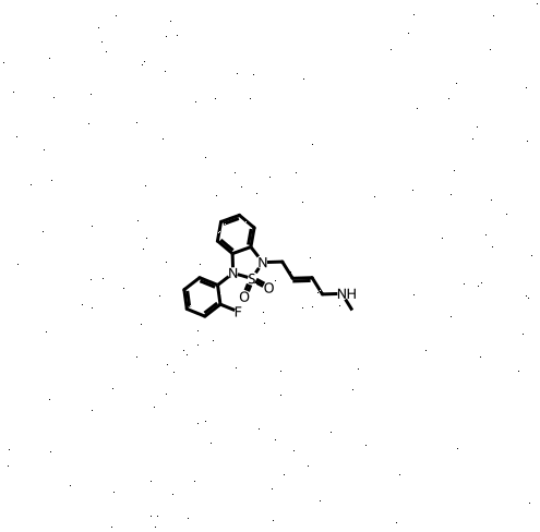 CNCC=CCN1c2ccccc2N(c2ccccc2F)S1(=O)=O